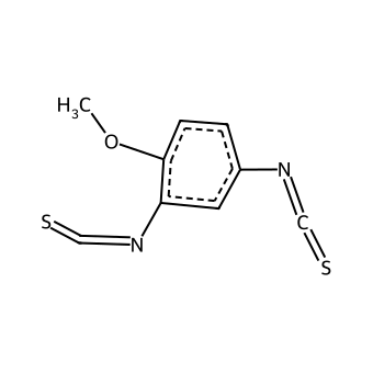 COc1ccc(N=C=S)cc1N=C=S